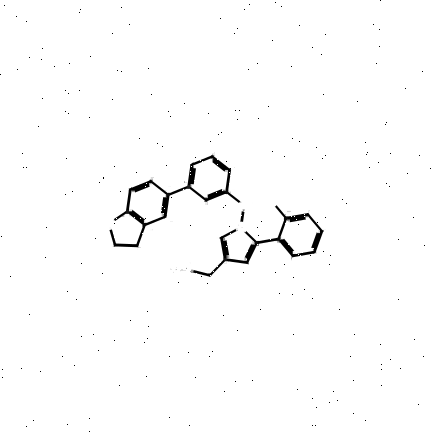 CNCc1cc(-c2ccccc2F)n(Sc2cccc(-c3ccc4c(c3)CCO4)c2)c1